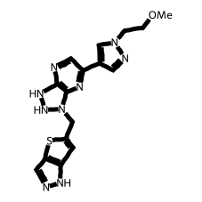 COCCn1cc(-c2cnc3c(n2)N(Cc2cc4[nH]ncc4s2)NN3)cn1